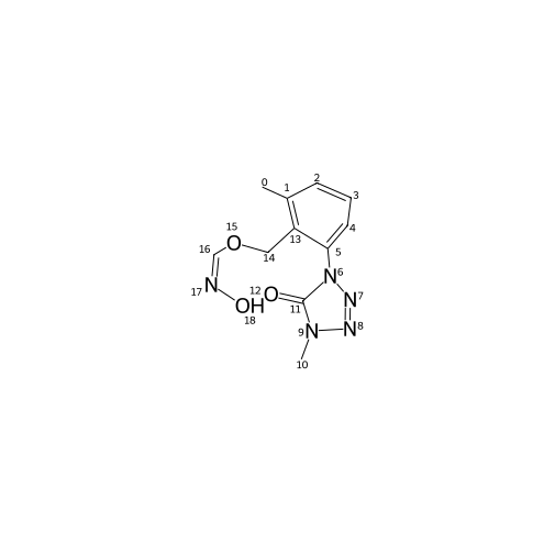 Cc1cccc(-n2nnn(C)c2=O)c1CO/C=N\O